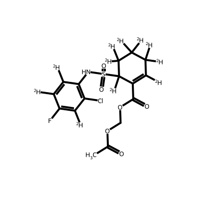 [2H]C1=C(C(=O)OCOC(C)=O)C([2H])(S(=O)(=O)Nc2c([2H])c([2H])c(F)c([2H])c2Cl)C([2H])([2H])C([2H])([2H])C1([2H])[2H]